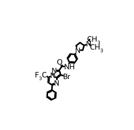 CN(C)C1CCN(c2ccc(NC(=O)c3nn4c(C(F)(F)F)cc(-c5ccccc5)nc4c3Br)cc2)C1